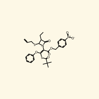 C=CCSC1C(CC)C(=O)N1C(C(=O)OCc1ccc([N+](=O)[O-])cc1)=C(Oc1ccccc1)SC(=O)C(C)(C)C